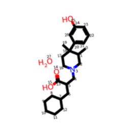 CC1CN(CC(CC2CCCCC2)C(=O)O)CCC1(C)c1cccc(O)c1.O